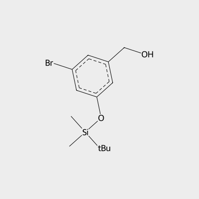 CC(C)(C)[Si](C)(C)Oc1cc(Br)cc(CO)c1